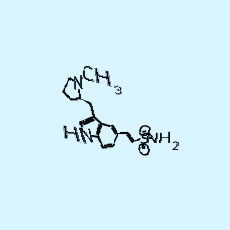 CN1CCC[C@@H]1Cc1c[nH]c2ccc(/C=C/S(N)(=O)=O)cc12